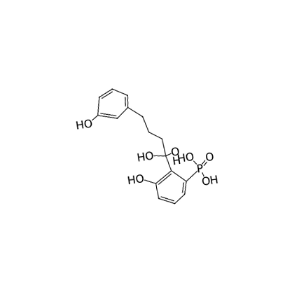 O=P(O)(O)c1cccc(O)c1C(O)(O)CCCc1cccc(O)c1